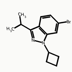 CC(C)c1nn(C2CCC2)c2cc(Br)ccc12